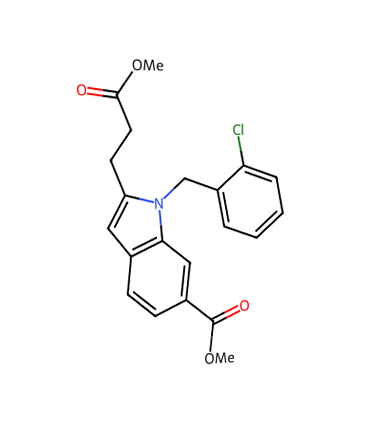 COC(=O)CCc1cc2ccc(C(=O)OC)cc2n1Cc1ccccc1Cl